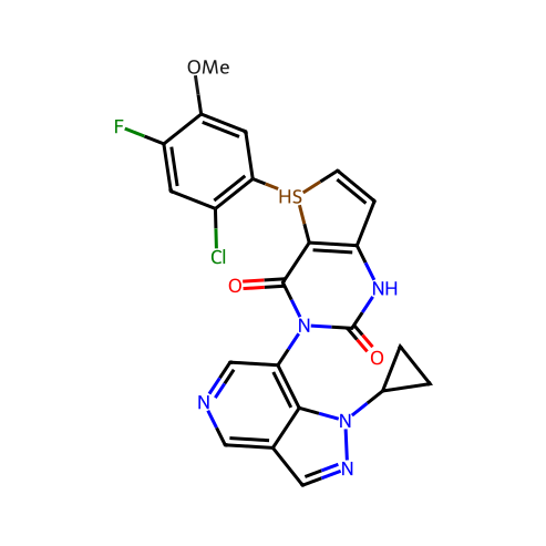 COc1cc([SH]2C=Cc3[nH]c(=O)n(-c4cncc5cnn(C6CC6)c45)c(=O)c32)c(Cl)cc1F